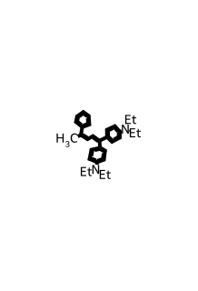 CCN(CC)c1ccc(C(=C/C=C(/C)c2ccccc2)c2ccc(N(CC)CC)cc2)cc1